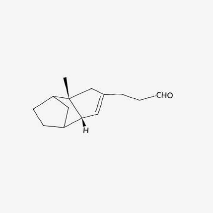 C[C@@]12CC(CCC=O)=C[C@@H]1C1CCC2C1